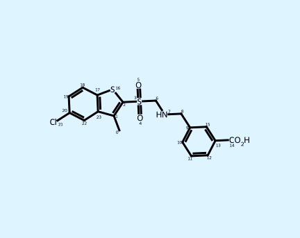 Cc1c(S(=O)(=O)CNCc2cccc(C(=O)O)c2)sc2ccc(Cl)cc12